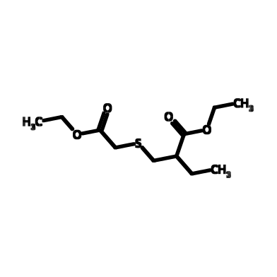 CCOC(=O)CSCC(CC)C(=O)OCC